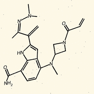 C=CC(=O)N1CC(N(C)c2ccc(C(N)=O)c3[nH]c(C(=C)/C(C)=N\N(C)C)cc23)C1